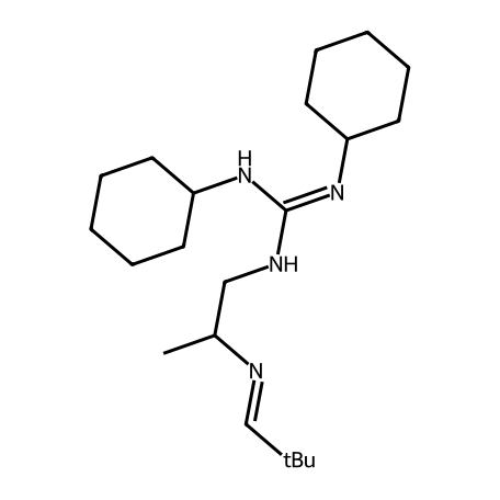 [CH2]C(C)(C)C=NC(C)CNC(=NC1CCCCC1)NC1CCCCC1